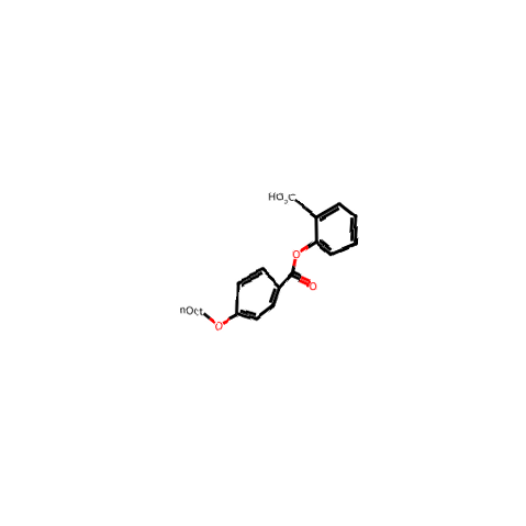 CCCCCCCCOc1ccc(C(=O)Oc2ccccc2C(=O)O)cc1